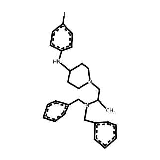 CC(CN1CCC(Nc2ccc(I)cc2)CC1)N(Cc1ccccc1)Cc1ccccc1